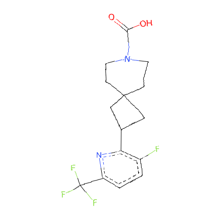 O=C(O)N1CCC2(CC1)CC(c1nc(C(F)(F)F)ccc1F)C2